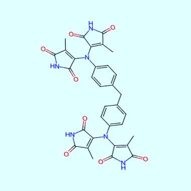 CC1=C(N(C2=C(C)C(=O)NC2=O)c2ccc(Cc3ccc(N(C4=C(C)C(=O)NC4=O)C4=C(C)C(=O)NC4=O)cc3)cc2)C(=O)NC1=O